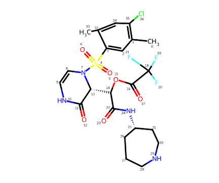 Cc1cc(S(=O)(=O)N2C=CNC(=O)[C@H]2C(OC(=O)C(F)(F)F)C(=O)N[C@H]2CCCNCC2)c(C)cc1Cl